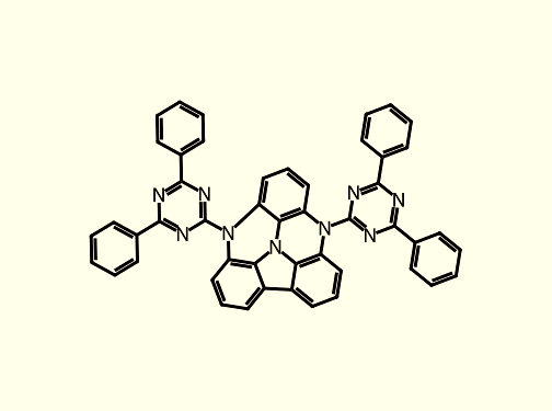 c1ccc(-c2nc(-c3ccccc3)nc(N3c4cccc5c4-n4c6c3cccc6c3cccc(c34)N5c3nc(-c4ccccc4)nc(-c4ccccc4)n3)n2)cc1